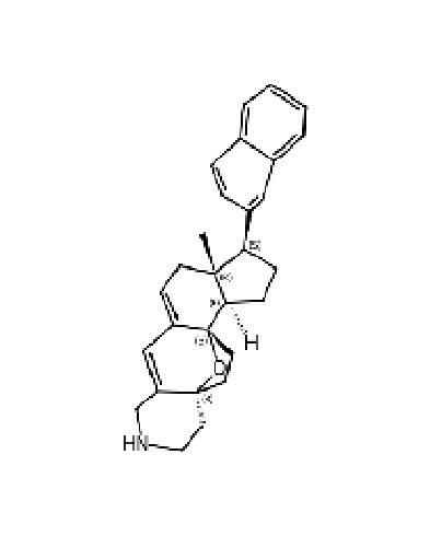 C[C@]12CC=C3C=C4CNCC[C@]45CC[C@]3(O5)[C@@H]1CC[C@@H]2c1ccc2ccccc2c1